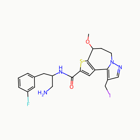 COC1CCn2ncc(CI)c2-c2cc(C(=O)NC(CN)Cc3cccc(F)c3)sc21